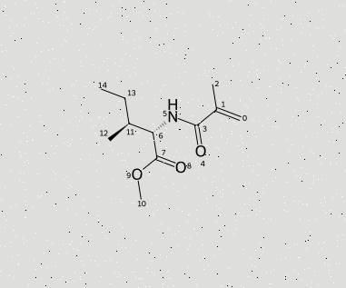 C=C(C)C(=O)N[C@H](C(=O)OC)[C@@H](C)CC